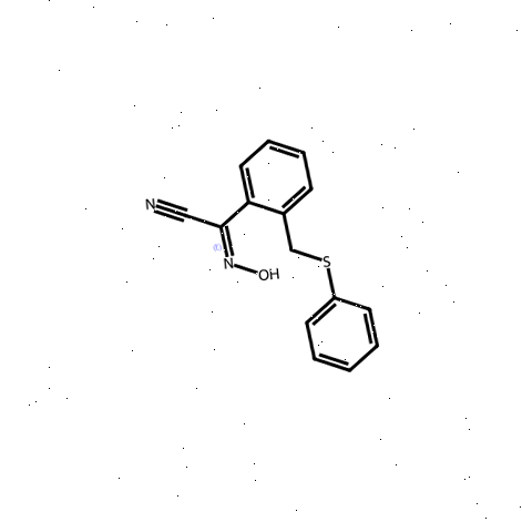 N#C/C(=N/O)c1ccccc1CSc1ccccc1